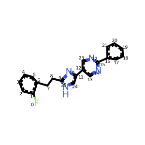 Fc1ccccc1CCc1nc(-c2cnc(-c3ccccc3)nc2)c[nH]1